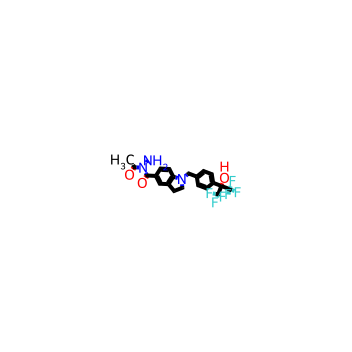 CC(=O)N(N)C(=O)c1ccc2c(c1)CCN2Cc1ccc(C(O)(C(F)(F)F)C(F)(F)F)cc1